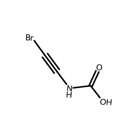 O=C(O)NC#CBr